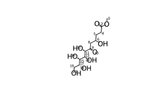 COC(=O)CCC(O)CC(=O)[C@H](O)[C@@H](O)[C@H](O)[C@H](O)CO